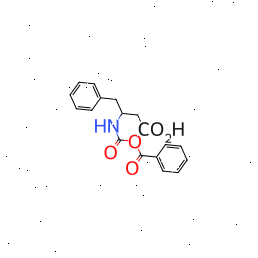 O=C(O)CC(Cc1ccccc1)NC(=O)OC(=O)c1ccccc1